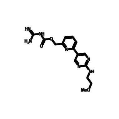 COCCNc1ncc(-c2cccc(COC(=O)NC(=N)N)n2)cn1